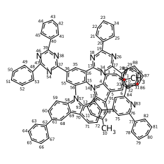 Cc1ccc2c(c1)c1cc(C)ccc1n2-c1c(-c2nc(-c3ccccc3)nc(-c3ccccc3)n2)cc(-c2nc(-c3ccccc3)nc(-c3ccccc3)n2)cc1-n1c2ccc(-c3ccccc3)cc2c2ccc(-c3cc(-c4ccccc4)nc(-c4ccccc4)c3)cc21